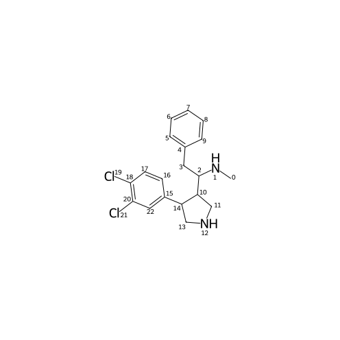 CNC(Cc1ccccc1)C1CNCC1c1ccc(Cl)c(Cl)c1